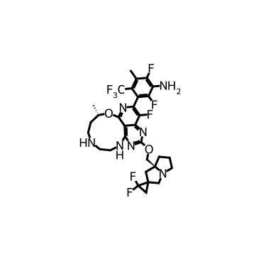 Cc1c(F)c(N)c(F)c(-c2nc3c4c(nc(OC[C@@]56CCCN5CC5(CC5(F)F)C6)nc4c2F)NCCNCC[C@H](C)O3)c1C(F)(F)F